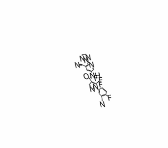 N#Cc1cc(-n2ncc(C(=O)Nc3cnc(-n4nccn4)c(C#N)c3)c2C(F)(F)F)ccc1F